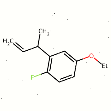 [CH2]C(C=C)c1cc(OCC)ccc1F